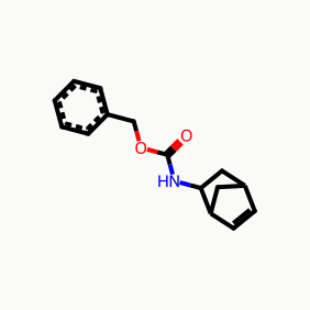 O=C(NC1CC2C=CC1C2)OCc1ccccc1